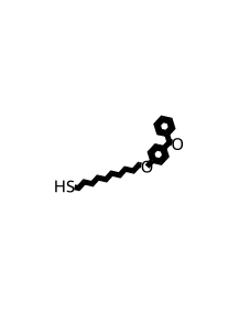 O=C(c1ccccc1)c1ccc(OCCCCCCCCCCS)cc1